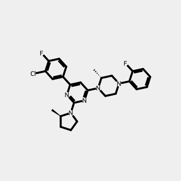 C[C@@H]1CN(c2ccccc2F)CCN1c1cc(-c2ccc(F)c(Cl)c2)nc(N2CCC[C@H]2C)n1